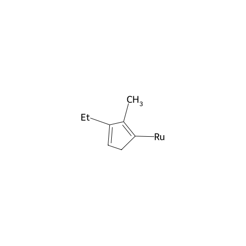 CCC1=CC[C]([Ru])=C1C